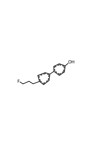 Oc1ccc(-c2ccc(CCCF)cc2)cc1